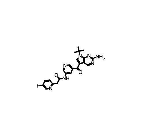 CC(C)(C)n1cc(C(=O)c2cncc(NC(=O)Cc3ccc(F)cn3)c2)c2cnc(N)nc21